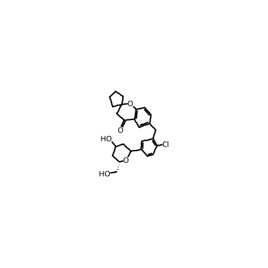 O=C1CC2(CCCC2)Oc2ccc(Cc3cc(C4CC(O)C[C@@H](CO)O4)ccc3Cl)cc21